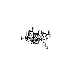 Cc1nc(NC(C)c2cccc(C(F)F)c2F)c(C2OCCO2)c(C(OC(=O)N2CCNCC2)(C(=O)NC2(CF)CC2)C(C)(C)C)n1